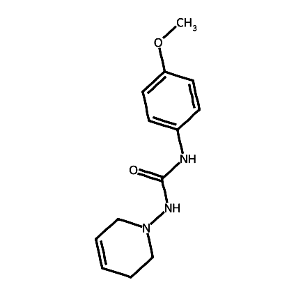 COc1ccc(NC(=O)NN2CC=CCC2)cc1